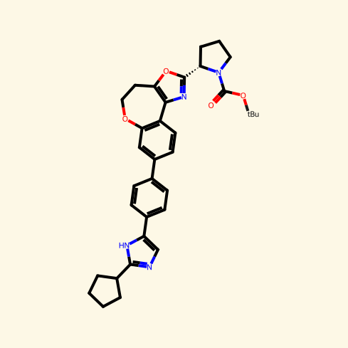 CC(C)(C)OC(=O)N1CCC[C@H]1c1nc2c(o1)CCOc1cc(-c3ccc(-c4cnc(C5CCCC5)[nH]4)cc3)ccc1-2